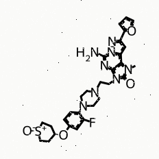 Cn1c(=O)n(CCN2CCN(c3ccc(O[C@H]4CC[S@@+]([O-])CC4)cc3F)CC2)c2nc(N)n3nc(-c4ccco4)cc3c21